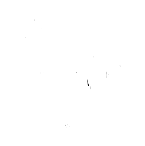 CCC[C@H](C(=O)NC(C)CC)N1CC(c2ccc3c(c2)OCO3)C(C(=O)O)C1c1ccc(OC)cc1